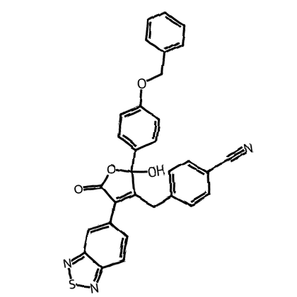 N#Cc1ccc(CC2=C(c3ccc4nsnc4c3)C(=O)OC2(O)c2ccc(OCc3ccccc3)cc2)cc1